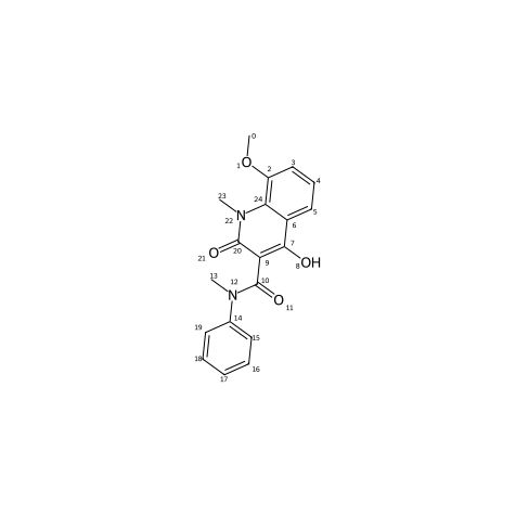 COc1cccc2c(O)c(C(=O)N(C)c3ccccc3)c(=O)n(C)c12